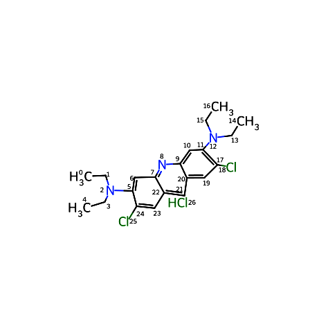 CCN(CC)c1cc2nc3cc(N(CC)CC)c(Cl)cc3cc2cc1Cl.Cl